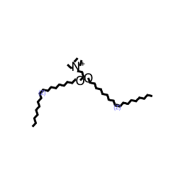 CCCCCCCC/C=C\CCCCCCCCOC(CC[N+](CC)(CC)CC)OCCCCCCCC/C=C\CCCCCCCC